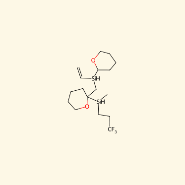 C=C[SiH](CC1([SiH](C)CCC(F)(F)F)CCCCO1)C1CCCCO1